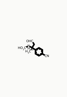 C[C@](CC=O)(NC(=O)O)c1ccc(C#N)cc1